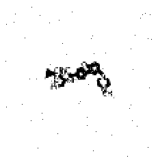 CC(C)CC(NC(c1ccc2c(c1)oc1ccc(CN3CCN(C)CC3)cc12)C(F)(F)F)C(=O)NC1(C#N)CC1